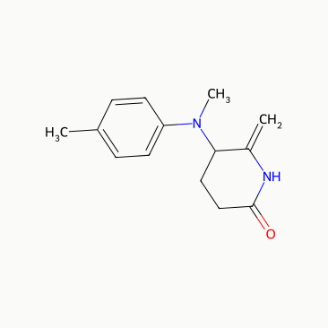 C=C1NC(=O)CCC1N(C)c1ccc(C)cc1